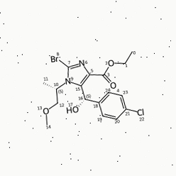 CCOC(=O)c1nc(Br)n([C@@H](C)COC)c1[C@@H](O)c1ccc(Cl)cc1